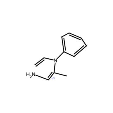 C=CN(/C(C)=C\N)c1ccccc1